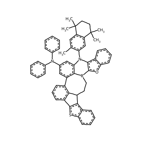 Cc1cc2c(cc1N1c3cc(N(c4ccccc4)c4ccccc4)cc4c3B(CCC3c5c-4cccc5-c4sc5ccccc5c43)c3oc4ccccc4c31)C(C)(C)CCC2(C)C